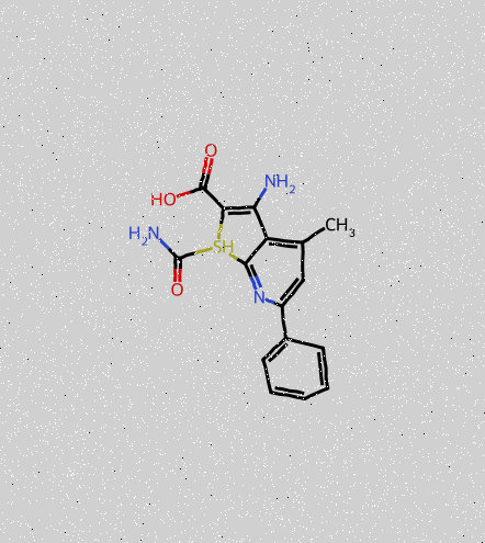 Cc1cc(-c2ccccc2)nc2c1C(N)=C(C(=O)O)[SH]2C(N)=O